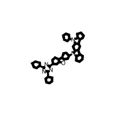 c1ccc(-c2nc(-c3ccccc3)nc(-c3ccc4c(c3)oc3cc(-n5c6ccccc6c6cc7c8ccccc8n(-c8ccccc8)c7cc65)ccc34)n2)cc1